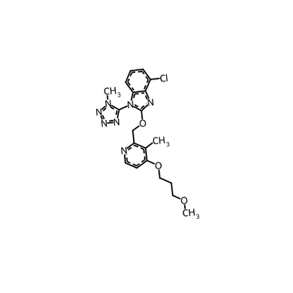 COCCCOc1ccnc(COc2nc3c(Cl)cccc3n2-c2nnnn2C)c1C